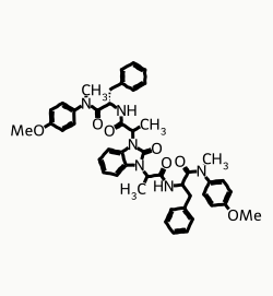 COc1ccc(N(C)C(=O)C(Cc2ccccc2)NC(=O)C(C)n2c(=O)n(C(C)C(=O)N[C@@H](Cc3ccccc3)C(=O)N(C)c3ccc(OC)cc3)c3ccccc32)cc1